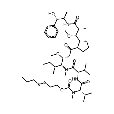 CCCSSCCOC(=O)N(C)[C@H](C(=O)N[C@H](C(=O)N(C)[C@@H]([C@@H](C)CC)[C@@H](CC(=O)C1CCC[C@H]1[C@H](OC)[C@@H](C)C(=O)N[C@H](C)[C@@H](O)c1ccccc1)OC)C(C)C)C(C)C